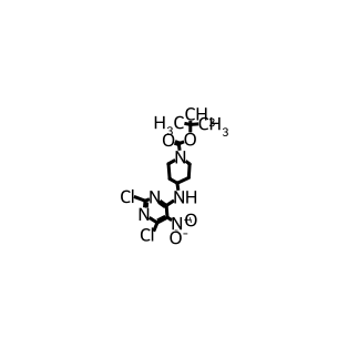 CC(C)(C)OC(=O)N1CCC(Nc2nc(Cl)nc(Cl)c2[N+](=O)[O-])CC1